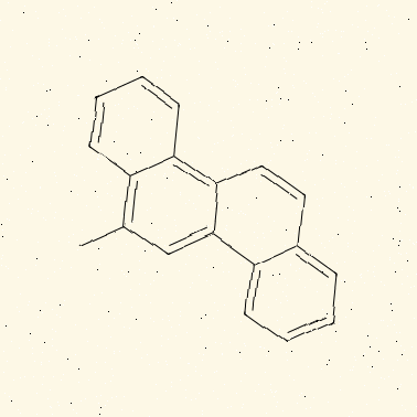 Cc1cc2c3ccccc3ccc2c2ccccc12